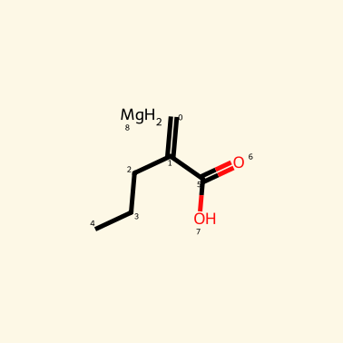 C=C(CCC)C(=O)O.[MgH2]